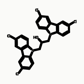 OC(Cn1c2ccc(Cl)cc2c2cc(Cl)ccc21)Cn1c2ccc(Cl)cc2c2cc(Cl)ccc21